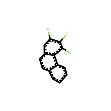 Fc1[c]c2ccc3ccccc3c2c(F)c1F